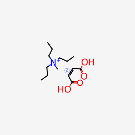 CCC[N+](C)(CCC)CCC.O=C(O)/C=C\C(=O)O